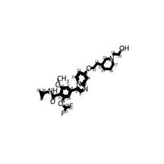 COc1cc(-c2cnc3cc(OCCC4CCCN(CCO)C4)ccn23)cc(OC(F)F)c1C(=O)NC1CC1